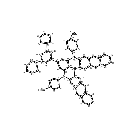 CCCCc1ccc(N2c3cc4cc5ccccc5cc4cc3B3c4cc5cc6ccccc6cc5cc4N(c4ccc(CCCC)cc4)c4cc(-c5nc(-c6ccccc6)nc(-c6ccccc6)n5)cc2c43)cc1